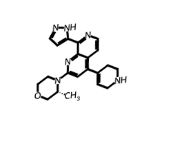 C[C@@H]1COCCN1c1cc(C2=CCNCC2)c2ccnc(-c3ccn[nH]3)c2n1